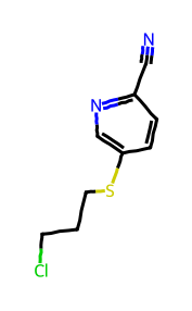 N#Cc1ccc(SCCCCl)cn1